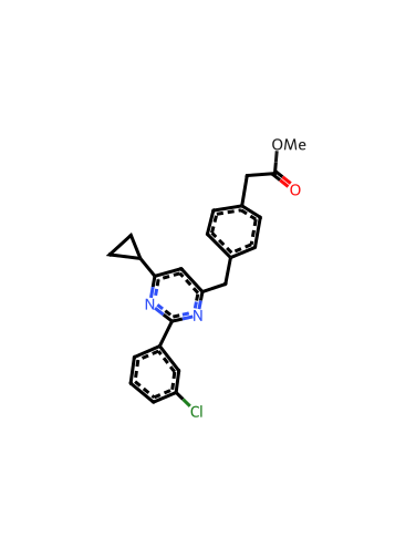 COC(=O)Cc1ccc(Cc2cc(C3CC3)nc(-c3cccc(Cl)c3)n2)cc1